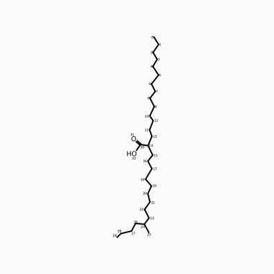 CCCCCCCCCCCCCCC(CCCCCCCCCC(C)CCCC)C(=O)O